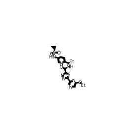 CCOc1cncc(-c2nnc(C(=O)NC(CC)c3ccc(NS(=O)(=O)C4CC4)cn3)s2)n1